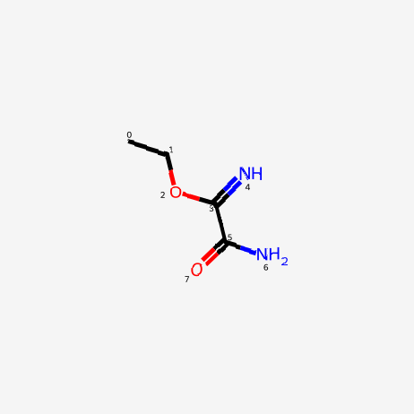 CCOC(=N)C(N)=O